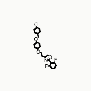 Fc1cccc(F)c1C1=NC(CCOc2ccc(OCc3ccc(Cl)cc3)cc2)CO1